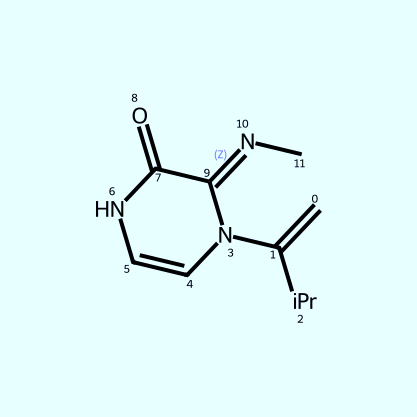 C=C(C(C)C)n1cc[nH]c(=O)/c1=N/C